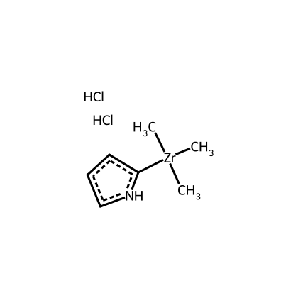 Cl.Cl.[CH3][Zr]([CH3])([CH3])[c]1ccc[nH]1